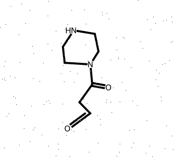 O=CCC(=O)N1CCNCC1